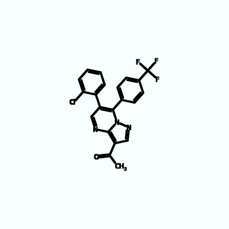 CC(=O)c1cnn2c(-c3ccc(C(F)(F)F)cc3)c(-c3ccccc3Cl)cnc12